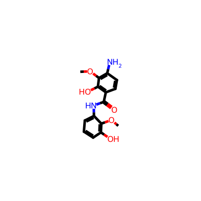 COc1c(O)cccc1NC(=O)c1ccc(N)c(OC)c1O